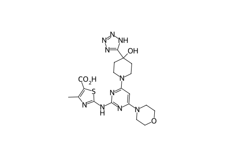 Cc1nc(Nc2nc(N3CCOCC3)cc(N3CCC(O)(c4nnn[nH]4)CC3)n2)sc1C(=O)O